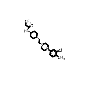 Cc1ccc(N2CCN(CC[C@H]3CC[C@H](NC(=O)CC(F)(F)F)CC3)CC2)cc1Cl